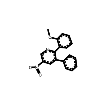 COc1ccccc1-c1ncc([N+](=O)[O-])cc1-c1ccccc1